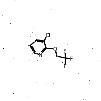 FC(F)(F)COc1nc[c]cc1Cl